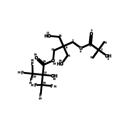 CC(C)(O)C(=O)OCC(CO)(CO)COC(=O)C(O)(C(F)(F)F)C(F)(F)F